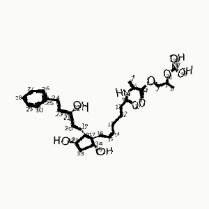 CC(COC(=O)C(C)NC(=O)CCC/C=C\C[C@@H]1[C@@H](CC[C@@H](O)CCc2ccccc2)[C@H](O)C[C@@H]1O)ON(O)O